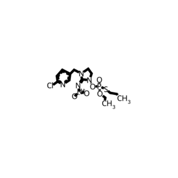 CCCSP(=O)(OCC)ON1CCN(Cc2ccc(Cl)nc2)C1=N[N+](=O)[O-]